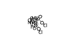 O=C(N1N=C(c2c(-c3ccc(Cl)cc3)c3ccccc3[nH]c2=O)C[C@H]1c1ccc(Cl)cc1)C(F)(F)CC1=NOS(=O)N1